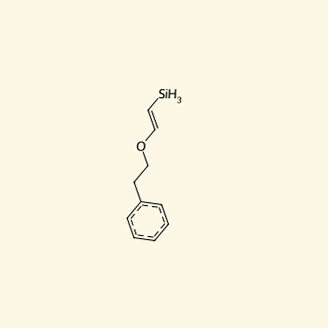 [SiH3]C=COCCc1ccccc1